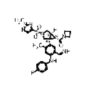 Cc1cc(Nc2ccc(F)cc2)c(C=N)cc1[C@]12CN(S(=O)(=O)c3cnn(C)n3)C[C@H]1[C@@H]2C(=O)N1CCC1